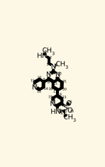 CNCCN(C)c1nc(-c2ccncc2)c2cc(-c3cnc4c(c3)S(=O)(=O)N(C)N4)ccc2n1